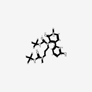 CN(CCCN(C(=O)OC(C)(C)C)c1c(-c2cccc(Cl)n2)ccn(C)c1=O)C(=O)OC(C)(C)C